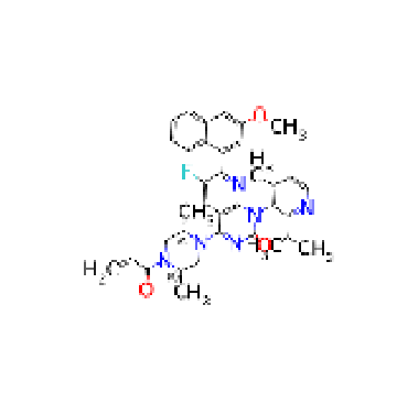 C=CC(=O)N1C[C@H](C)N(c2nc(=O)n(-c3c(C)ccnc3C(C)C)c3nc(-c4cc(OC)cc5ccccc45)c(F)cc23)C[C@H]1C